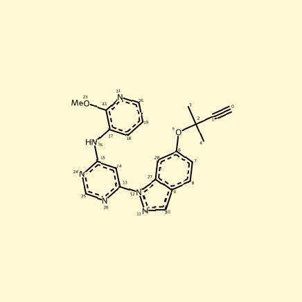 C#CC(C)(C)Oc1ccc2cnn(-c3cc(Nc4cccnc4OC)ncn3)c2c1